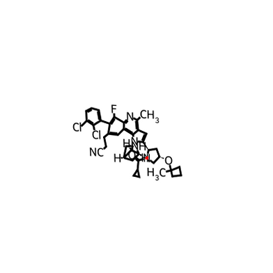 Cc1nc2c(F)c(-c3cccc(Cl)c3Cl)c(CCC#N)cc2c2c1cc([C@H]1C[C@H](OC3(C)CCC3)CN1C(=O)C1CC1)n2[C@H]1[C@H]2CN[C@@H]1C2